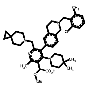 Cc1cccc(Cl)c1CN1CCc2cc(-c3c(CN4CCC5(CC4)CC5)nc(C)c([C@H](OC(C)(C)C)C(=O)O)c3N3CCC(C)(C)CC3)ccc2C1